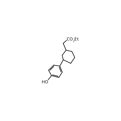 CCOC(=O)CC1CCCC(c2ccc(O)cc2)C1